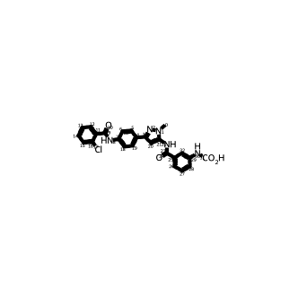 Cn1nc(-c2ccc(NC(=O)c3ccccc3Cl)cc2)cc1NC(=O)c1cccc(NC(=O)O)c1